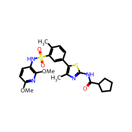 COc1ccc(NS(=O)(=O)c2cc(-c3sc(NC(=O)C4CCCC4)nc3C)ccc2C)c(OC)n1